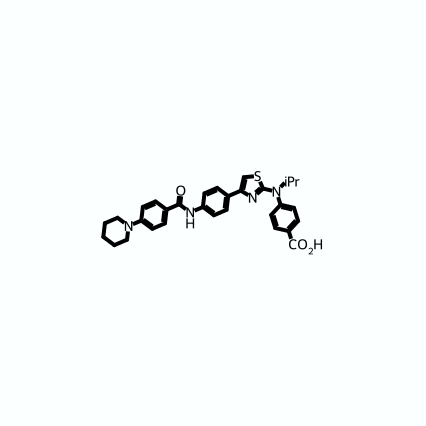 CC(C)N(c1ccc(C(=O)O)cc1)c1nc(-c2ccc(NC(=O)c3ccc(N4CCCCC4)cc3)cc2)cs1